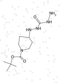 CC(C)(C)OC(=O)N1CCC(NNC(=O)NN)CC1